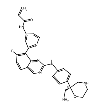 C=CC(=O)Nc1ccnc(-c2c(F)ccc3cnc(Nc4ccc([C@]5(CN)CNCCO5)cc4)nc23)c1